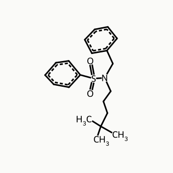 CC(C)(C)CCCN(Cc1ccccc1)S(=O)(=O)c1ccccc1